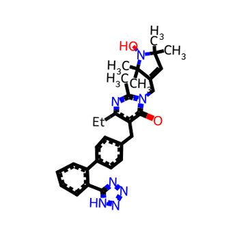 CCc1nc(C)n(CC2=CC(C)(C)N(O)C2(C)C)c(=O)c1Cc1ccc(-c2ccccc2-c2nnn[nH]2)cc1